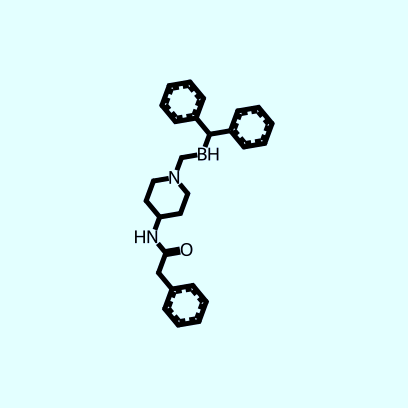 O=C(Cc1ccccc1)NC1CCN(CBC(c2ccccc2)c2ccccc2)CC1